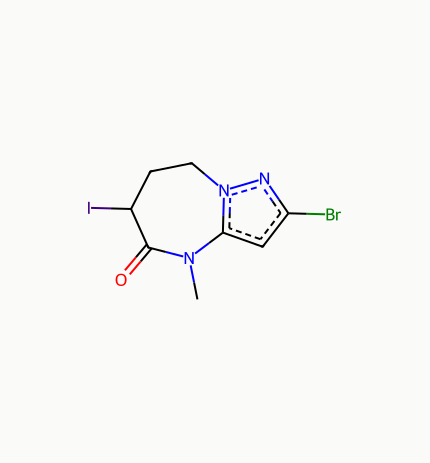 CN1C(=O)C(I)CCn2nc(Br)cc21